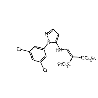 CCOC(=O)C(=CNc1ccnn1-c1cc(Cl)cc(Cl)c1)C(=O)OCC